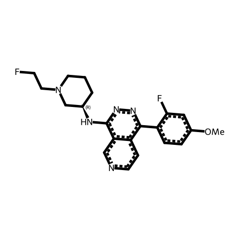 COc1ccc(-c2nnc(N[C@@H]3CCCN(CCF)C3)c3cnccc23)c(F)c1